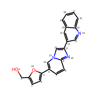 OCc1ccc(-c2ccc3nc(-c4cnc5ccccc5c4)cn3c2)o1